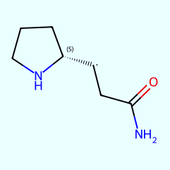 NC(=O)C[CH][C@H]1CCCN1